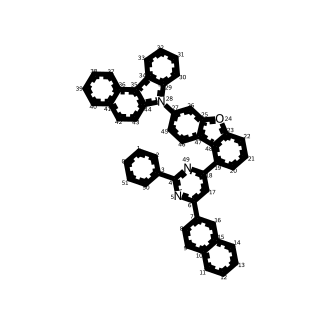 c1ccc(-c2nc(-c3ccc4ccccc4c3)cc(-c3cccc4oc5cc(-n6c7ccccc7c7c8ccccc8ccc76)ccc5c34)n2)cc1